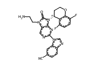 N#Cc1ccc2ncn(-c3ncc4c(n3)n([C@@H]3CCOc5c(F)ccc(F)c53)c(=O)n4CCN)c2c1